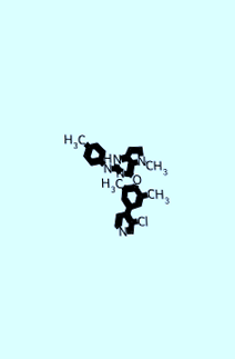 Cc1ccc(Nc2nc(Oc3c(C)cc(-c4ccncc4Cl)cc3C)c3c(ccn3C)n2)cc1